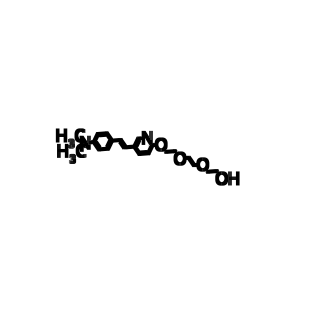 CN(C)c1ccc(C=Cc2ccc(OCCOCCOCCO)nc2)cc1